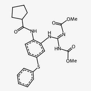 COC(=O)N=C(NC(=O)OC)Nc1cc(Sc2ccccc2)ccc1NC(=O)C1CCCC1